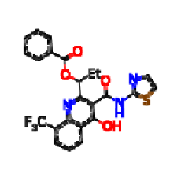 CCC(OC(=O)c1ccccc1)c1nc2c(C(F)(F)F)cccc2c(O)c1C(=O)Nc1nccs1